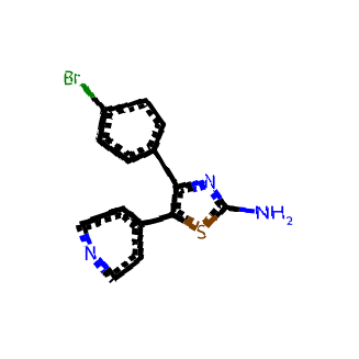 Nc1nc(-c2ccc(Br)cc2)c(-c2ccncc2)s1